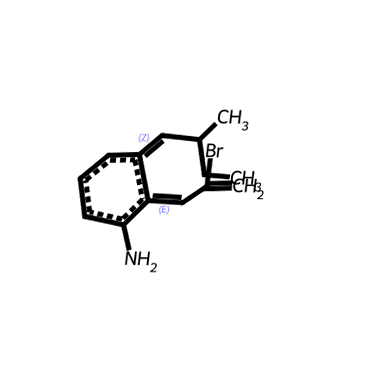 C=C(Br)/C=c1/c(N)ccc/c1=C/C(C)CC